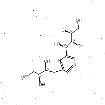 OC[C@H](O)[C@@H](O)[C@H](O)c1cncc(C[C@H](O)[C@@H](O)CO)n1